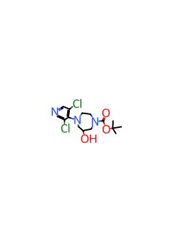 CC(C)(C)OC(=O)N1CCN(c2c(Cl)cncc2Cl)CC(O)C1